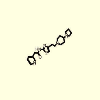 O=C(Cc1cccnc1)Nc1nc(CCN2CCC(N3CCCC3)CC2)cs1